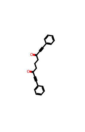 O=C(C#Cc1ccccc1)CCCC(=O)C#Cc1ccccc1